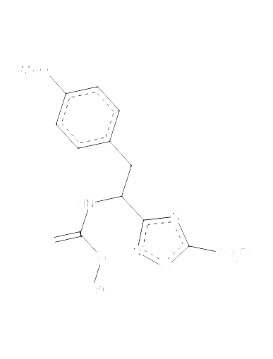 CCOC(=O)c1nc(C(Cc2ccc(OC)cc2)NC(=O)OC(C)(C)C)no1